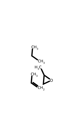 C=CC.CC1CO1.CCC